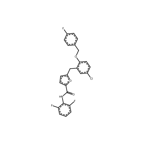 O=C(Nc1c(F)cccc1F)c1ccc(Cc2cc(Cl)ccc2OCc2ccc(F)cc2)o1